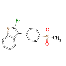 CS(=O)(=O)c1ccc(-c2c(Br)sc3ccccc23)cc1